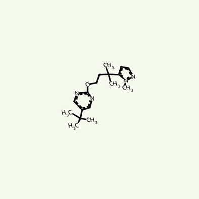 Cn1nccc1C(C)(C)CCOc1ncc(C(C)(C)C)cn1